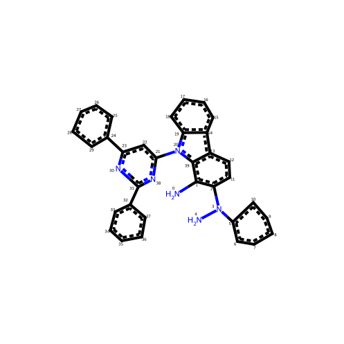 Nc1c(N(N)c2ccccc2)ccc2c3ccccc3n(-c3cc(-c4ccccc4)nc(-c4ccccc4)n3)c12